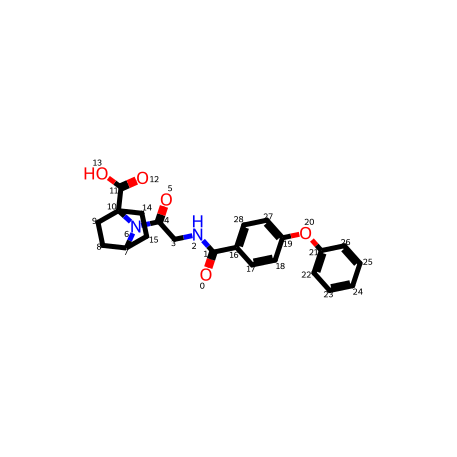 O=C(NCC(=O)N1C2CCC1(C(=O)O)CC2)c1ccc(Oc2ccccc2)cc1